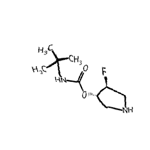 CC(C)(C)NC(=O)O[C@H]1CNC[C@@H]1F